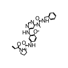 C=CC(=O)N1CCC[C@H]1C(=O)Nc1ccc(OC)c(Nc2cc(N(C)C(=O)NCc3ccccc3)ncn2)c1